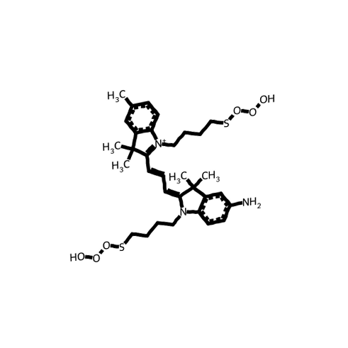 Cc1ccc2c(c1)C(C)(C)C(/C=C/C=C1/N(CCCCSOOO)c3ccc(N)cc3C1(C)C)=[N+]2CCCCSOOO